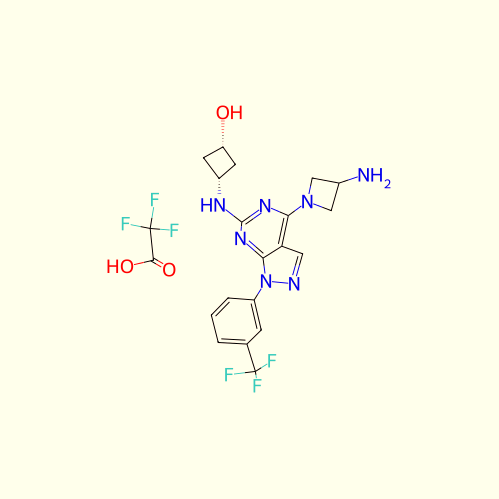 NC1CN(c2nc(N[C@H]3C[C@@H](O)C3)nc3c2cnn3-c2cccc(C(F)(F)F)c2)C1.O=C(O)C(F)(F)F